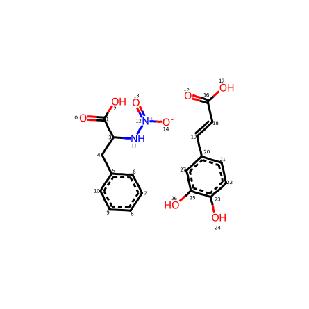 O=C(O)C(Cc1ccccc1)N[N+](=O)[O-].O=C(O)C=Cc1ccc(O)c(O)c1